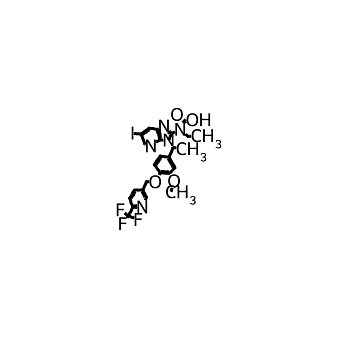 CCN(C(=O)O)c1nc2cc(I)cnc2n1C(C)c1ccc(OCc2ccc(C(F)(F)F)nc2)c(OC)c1